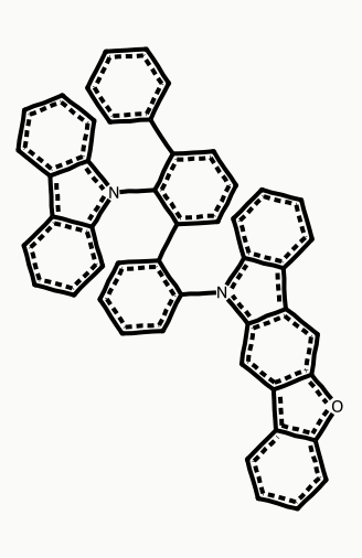 c1ccc(-c2cccc(-c3ccccc3-n3c4ccccc4c4cc5oc6ccccc6c5cc43)c2-n2c3ccccc3c3ccccc32)cc1